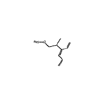 C=C/C=C(\C=C)C(C)COSC